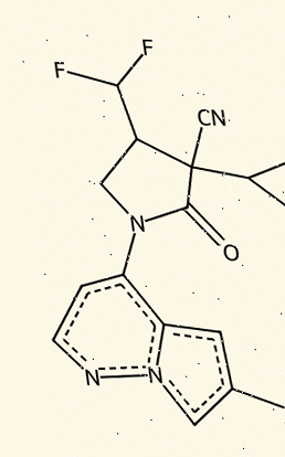 N#CC1(C2CC2)C(=O)N(c2ccnn3cc(Br)cc23)CC1C(F)F